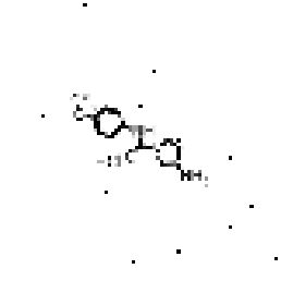 Cl.NC1CCN(C(=O)Nc2ccc(OC(F)(F)F)cc2)C1